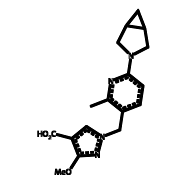 COc1nn(Cc2ccc(N3CC4CC4C3)nc2C)cc1C(=O)O